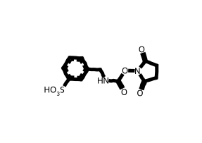 O=C(NCc1cccc(S(=O)(=O)O)c1)ON1C(=O)CCC1=O